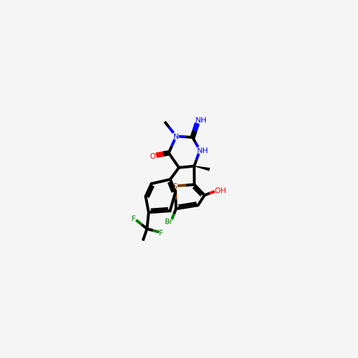 CN1C(=N)N[C@](C)(c2sc(Br)cc2O)C(c2ccc(C(C)(F)F)cc2)C1=O